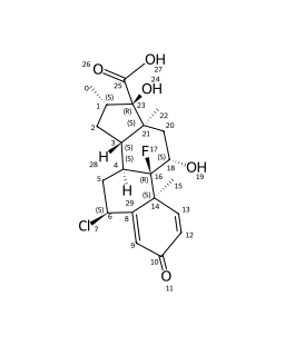 C[C@H]1C[C@H]2[C@@H]3C[C@H](Cl)C4=CC(=O)C=C[C@]4(C)[C@@]3(F)[C@@H](O)C[C@]2(C)[C@@]1(O)C(=O)O